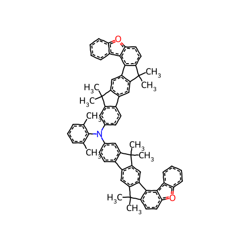 Cc1cccc(C)c1N(c1ccc2c(c1)C(C)(C)c1cc3c(cc1-2)C(C)(C)c1ccc2oc4ccccc4c2c1-3)c1ccc2c(c1)C(C)(C)c1cc3c(cc1-2)C(C)(C)c1ccc2oc4ccccc4c2c1-3